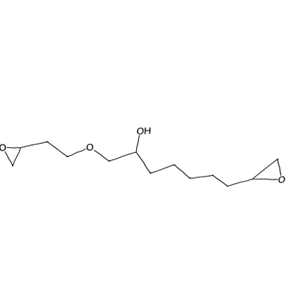 OC(CCCCCC1CO1)COCCC1CO1